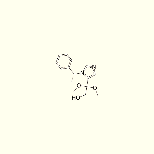 COC(CO)(OC)c1cncn1[C@H](C)c1ccccc1